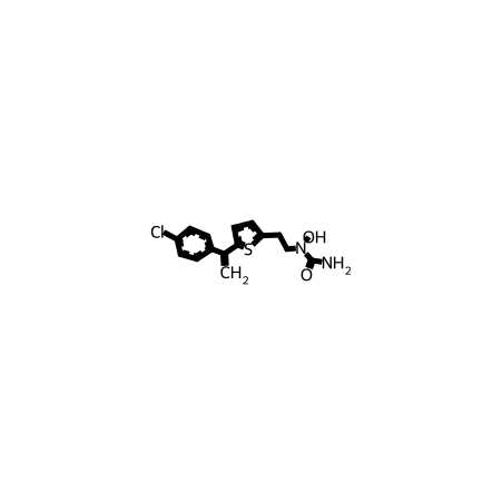 C=C(c1ccc(Cl)cc1)c1ccc(CCN(O)C(N)=O)s1